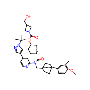 COc1ccc(C23CCC(CN(c4cc(-c5cnn(C(C)(C)C)c5)ccn4)C(=O)[C@H]4CC[C@H](OC(=O)N5CC(CO)C5)CC4)(CC2)CC3)cc1C